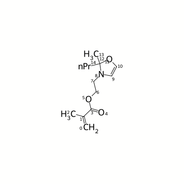 C=C(C)C(=O)OCCN1C=COC1(C)CCC